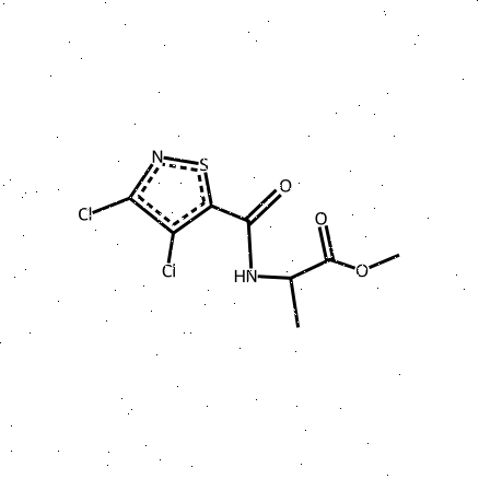 COC(=O)C(C)NC(=O)c1snc(Cl)c1Cl